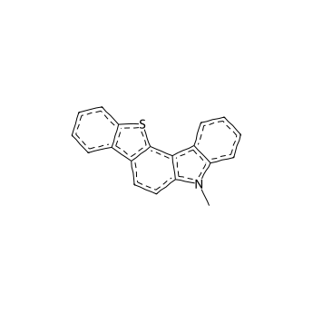 Cn1c2ccccc2c2c3sc4ccccc4c3ccc21